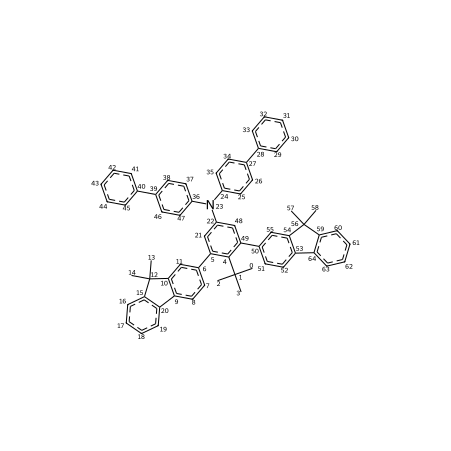 CC(C)(C)c1c(-c2ccc3c(c2)C(C)(C)c2ccccc2-3)cc(N(c2ccc(-c3ccccc3)cc2)c2ccc(-c3ccccc3)cc2)cc1-c1ccc2c(c1)C(C)(C)c1ccccc1-2